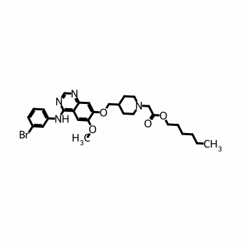 CCCCCCOC(=O)CN1CCC(COc2cc3ncnc(Nc4cccc(Br)c4)c3cc2OC)CC1